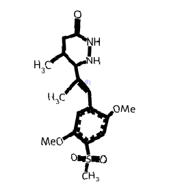 COc1cc(S(C)(=O)=O)c(OC)cc1/C=C(\C)C1NNC(=O)CC1C